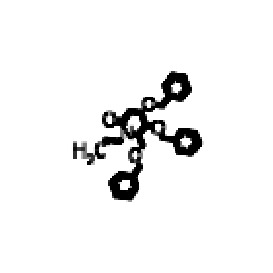 C=CCN1C(=O)CC(OCc2ccccc2)C(OCc2ccccc2)C1COCc1ccccc1